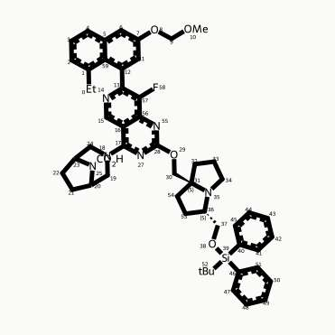 CCc1cccc2cc(OCOC)cc(-c3ncc4c(N5CC6CCC(C5)N6C(=O)O)nc(OC[C@@]56CCCN5[C@H](CO[Si](c5ccccc5)(c5ccccc5)C(C)(C)C)CC6)nc4c3F)c12